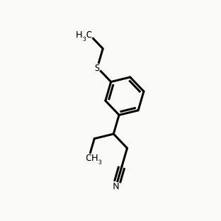 CCSc1cccc(C(CC)CC#N)c1